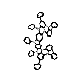 c1ccc(-c2cc3c4c(c2)-n2c5ccccc5c5cccc(c52)B4c2cc4c5cc6c(cc5n(-c5ccccc5)c4cc2N3c2ccccc2)N(c2ccccc2)c2cc(-c3ccccc3)cc3c2B6c2cccc4c5ccccc5n-3c24)cc1